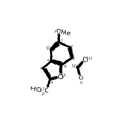 COc1ccc2oc(C(=O)O)cc2c1.ClCCl